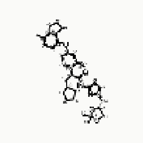 Cc1ccc(Oc2cnn(C(CC3CCCC3)C(=O)Nc3ccn(C[C@@H]4COC(C)(C)O4)n3)c(=O)c2)c2c1CCC2